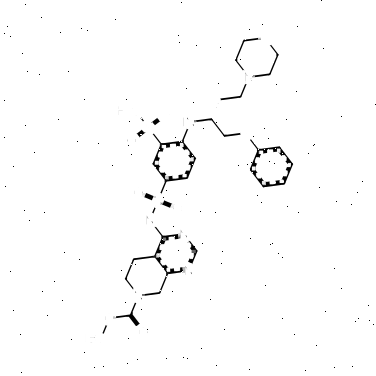 CC(C)(C)OC(=O)N1CCc2c(ncnc2NS(=O)(=O)c2ccc(N[C@H](CCN3CCOCC3)CSc3ccccc3)c(S(=O)(=O)C(F)(F)F)c2)C1